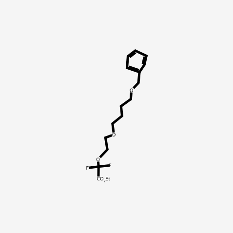 CCOC(=O)C(F)(F)OCCOCCCCOCc1ccccc1